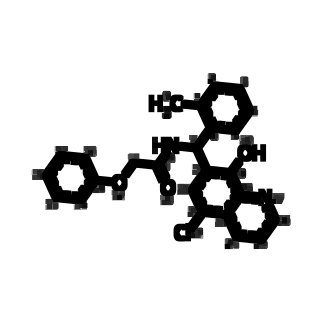 Cc1ccccc1C(NC(=O)COc1ccccc1)c1cc(Cl)c2cccnc2c1O